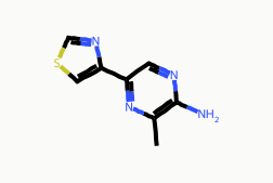 Cc1nc(-c2cscn2)cnc1N